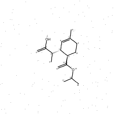 C=C(O)C(C)[C@@H]1C=C(C)CC[C@H]1C(=C)OC(C)C